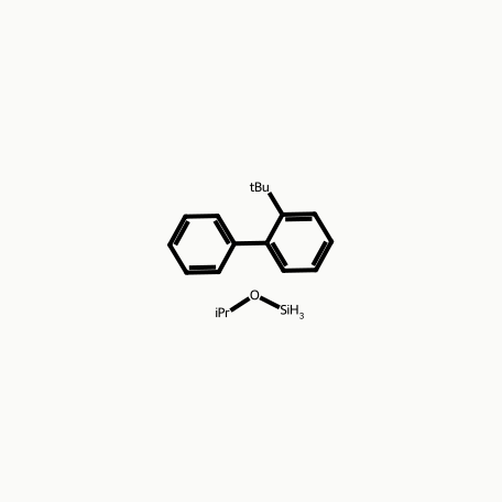 CC(C)(C)c1ccccc1-c1ccccc1.CC(C)O[SiH3]